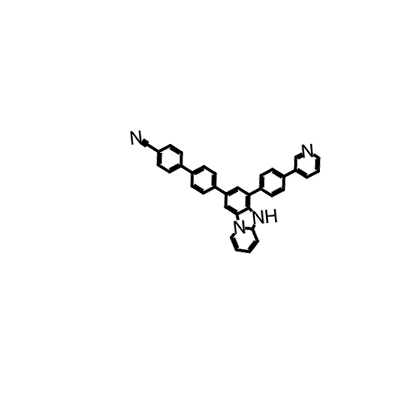 N#Cc1ccc(-c2ccc(-c3cc(-c4ccc(-c5cccnc5)cc4)c4c(c3)N3C=CC=CC3N4)cc2)cc1